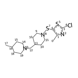 Cc1nc(Cl)sc1SN1CCC(CN2CCC(C)CC2)CC1